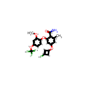 COc1cc(OC(F)(F)F)ccc1Oc1cc(OC2C=C(F)C2)cc(C)c1C(N)=O